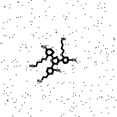 CCCc1ccc(-c2nc(-c3ccc(C)cc3OCCCCO)nc(-c3ccc(C)cc3OCCCCO)n2)c(C)c1